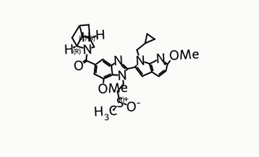 COc1ccc2cc(-c3nc4cc(C(=O)N5C[C@H]6CC7C[C@@H]5[C@H]76)cc(OC)c4n3CC[S@+](C)[O-])n(CC3CC3)c2n1